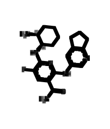 NC(=O)c1cc(F)c(N[C@@H]2CCCC[C@@H]2N)nc1Nc1cnc2c(c1)CCC2